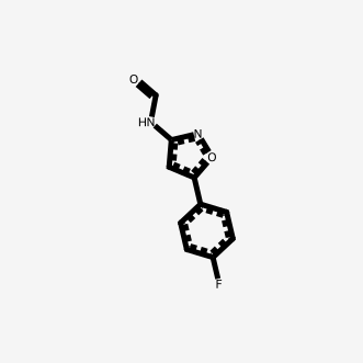 O=CNc1cc(-c2ccc(F)cc2)on1